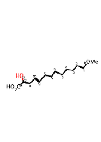 COCCCCCCCCC=CCC(O)C(=O)O